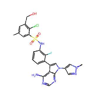 Cc1cc(CO)c(Cl)c(S(=O)(=O)Nc2cccc(-c3cn(-c4cnn(C)c4)c4ncnc(N)c34)c2F)c1